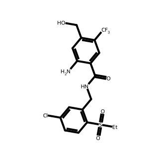 CCS(=O)(=O)c1ccc(Cl)cc1CNC(=O)c1cc(C(F)(F)F)c(CO)cc1N